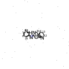 c1cncc(/N=C2\NCC3(CN4CCC3CC4)O2)c1